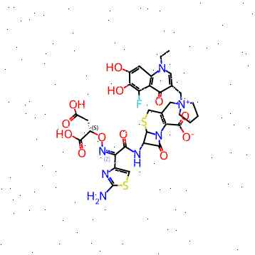 CCn1cc(C[N+]2(CC3=C(C(=O)[O-])N4C(=O)C(NC(=O)/C(=N\O[C@@H](CC(=O)O)C(=O)O)c5csc(N)n5)C4SC3)CCCC2)c(=O)c2c(F)c(O)c(O)cc21